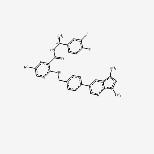 C[C@H](NC(=O)c1nc(C#N)cnc1NCc1ccc(-c2cnc3c(c2)c(N)nn3C)cc1)c1ccc(F)c(F)c1